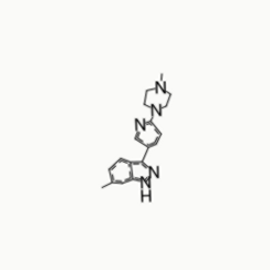 Cc1ccc2c(-c3ccc(N4CCN(C)CC4)nc3)n[nH]c2c1